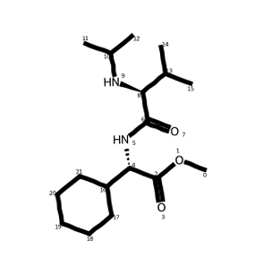 COC(=O)[C@@H](NC(=O)[C@@H](NC(C)C)C(C)C)C1CCCCC1